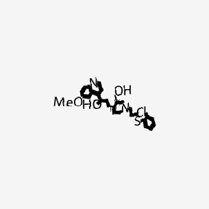 COc1ccc2nccc(C(O)CC[C@@H]3CCN(CCCSc4ccccc4Cl)C[C@@H]3CO)c2c1